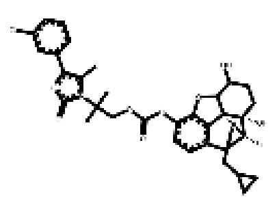 Cc1c(-c2cccc(Cl)c2)oc(=O)n1C(C)(C)COC(=O)Oc1ccc2c3c1OC1C(O)CC[C@@]4(O)[C@@H](C2)N(CC2CC2)C[C@]314